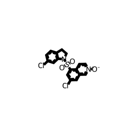 O=S(=O)(c1cc(Cl)cc2c[n+]([O-])ccc12)N1CCc2ccc(Cl)cc21